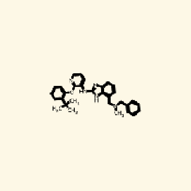 CN(Cc1ccccc1)Cc1cccc2nc(Nc3cccnc3Oc3ccccc3C(C)(C)C)[nH]c12